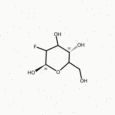 OCC1O[C@@H](O)C(F)C(O)[C@@H]1O